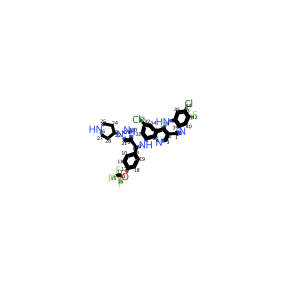 N#Cc1cnc2c(NC(c3ccc(OC(F)(F)F)cc3)c3cn(C4CCNCC4)nn3)cc(Cl)cc2c1Nc1ccc(F)c(Cl)c1